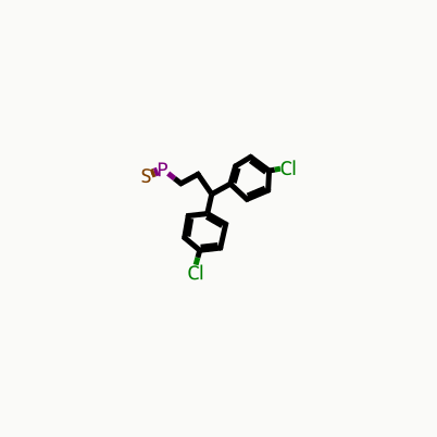 S=PCCC(c1ccc(Cl)cc1)c1ccc(Cl)cc1